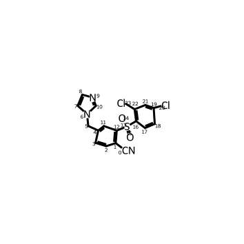 N#Cc1ccc(Cn2ccnc2)cc1S(=O)(=O)c1ccc(Cl)cc1Cl